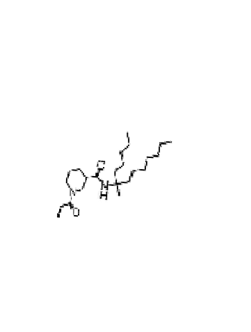 C=CC(=O)N1CCC[C@@H](C(=O)NC(C)(CCCCC)CCCCCCC)C1